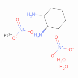 N[C@@H]1CCCC[C@H]1N.O.O.O=[N+]([O-])[O-].O=[N+]([O-])[O-].[Pt+2]